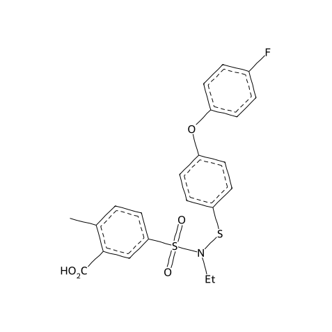 CCN(Sc1ccc(Oc2ccc(F)cc2)cc1)S(=O)(=O)c1ccc(C)c(C(=O)O)c1